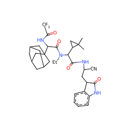 CCN(C(=O)C(NC(=O)C(F)(F)F)C12CC3CC(CC(C3)C1)C2)C(C(=O)NC(C#N)CC1C(=O)Nc2ccccc21)C1CC1(C)C